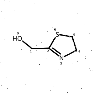 OCC1=N[CH]CS1